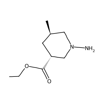 CCOC(=O)[C@@H]1C[C@@H](C)CN(N)C1